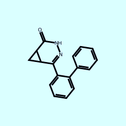 O=C1NN=C(c2ccccc2-c2ccccc2)C2CC12